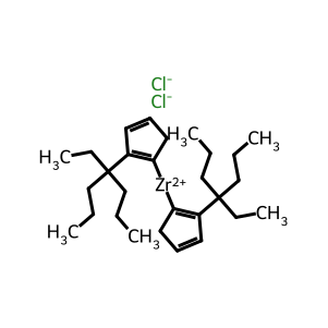 CCCC(CC)(CCC)C1=[C]([Zr+2][C]2=C(C(CC)(CCC)CCC)C=CC2)CC=C1.[Cl-].[Cl-]